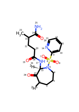 [2H]C1CCCN(S(=O)(=O)c2ccccn2)[C@]([2H])(NC(=O)[CH]CC(C)C(N)=O)C1=O